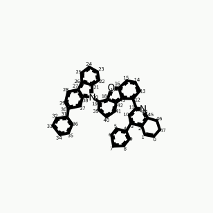 C1=Cc2c(-c3ccccc3)cc(-c3cccc4oc5c(-n6c7ccccc7c7ccc(-c8ccccc8)cc76)cccc5c34)nc2CC1